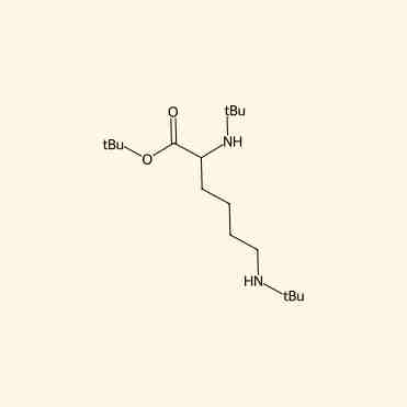 CC(C)(C)NCCCCC(NC(C)(C)C)C(=O)OC(C)(C)C